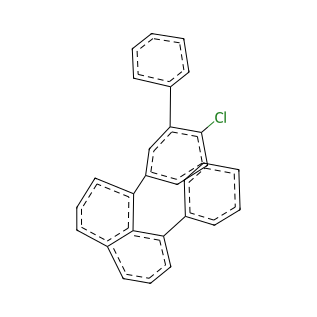 Clc1ccc(-c2cccc3cccc(-c4ccccc4)c23)cc1-c1ccccc1